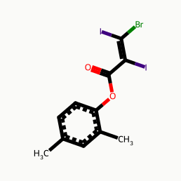 Cc1ccc(OC(=O)C(I)=C(Br)I)c(C)c1